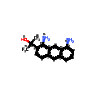 Nc1cccc2cc3ccc(C(O)(C(F)(F)F)C(F)(F)F)c(N)c3cc12